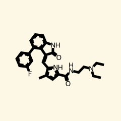 CCN(CC)CCNC(=O)c1cc(C)c(C=C2C(=O)Nc3cccc(-c4cccc(F)c4)c32)[nH]1